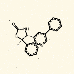 C[C@]1(c2ccccc2)OC(=O)N[C@@H]1c1cncc(-c2ccccc2)c1